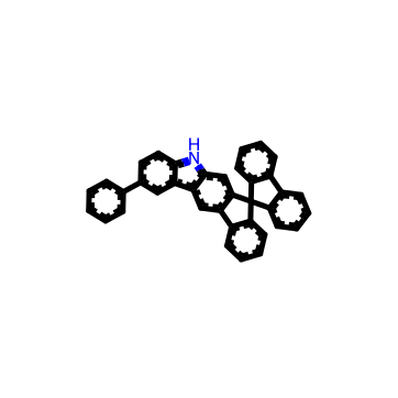 c1ccc(-c2ccc3[nH]c4cc5c(cc4c3c2)-c2ccccc2C52c3ccccc3-c3ccccc32)cc1